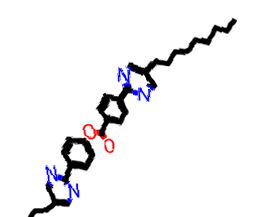 CCCCCCCCCc1cnc(-c2ccc(C(=O)Oc3ccc(-c4ncc(CCC)cn4)cc3)cc2)nc1